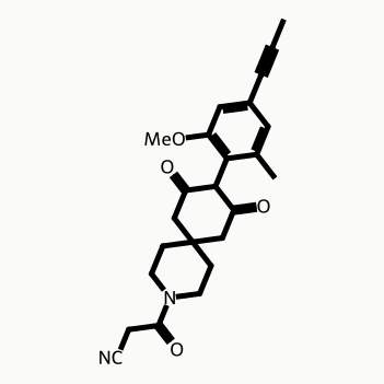 CC#Cc1cc(C)c(C2C(=O)CC3(CCN(C(=O)CC#N)CC3)CC2=O)c(OC)c1